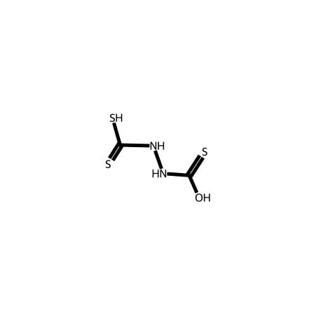 OC(=S)NNC(=S)S